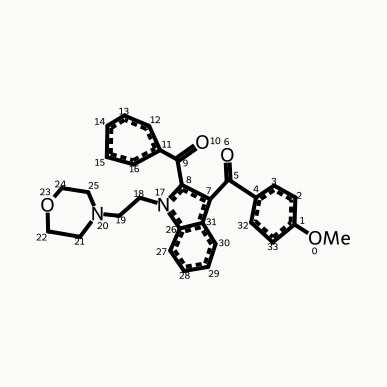 COc1ccc(C(=O)c2c(C(=O)c3ccccc3)n(CCN3CCOCC3)c3ccccc23)cc1